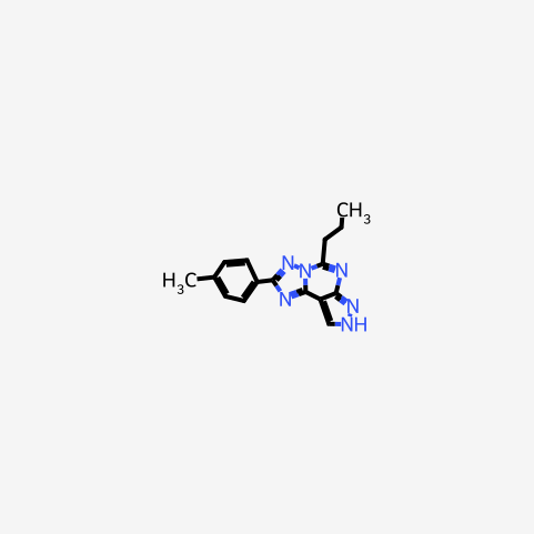 CCCc1nc2n[nH]cc2c2nc(-c3ccc(C)cc3)nn12